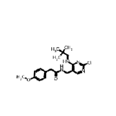 COc1ccc(CC(=O)NCc2cnc(Cl)nc2NCC(C)(C)C)cc1